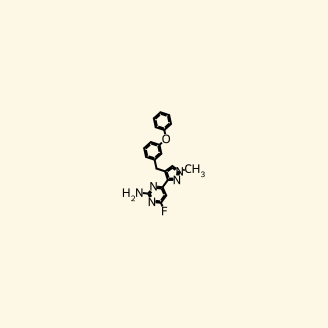 Cn1cc(Cc2cccc(Oc3ccccc3)c2)c(-c2cc(F)nc(N)n2)n1